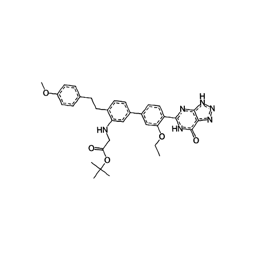 CCOc1cc(-c2ccc(CCc3ccc(OC)cc3)c(NCC(=O)OC(C)(C)C)c2)ccc1-c1nc2[nH]nnc2c(=O)[nH]1